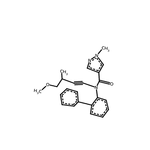 COCC(C)C#CN(C(=O)c1cnn(C)c1)c1ccccc1-c1ccccc1